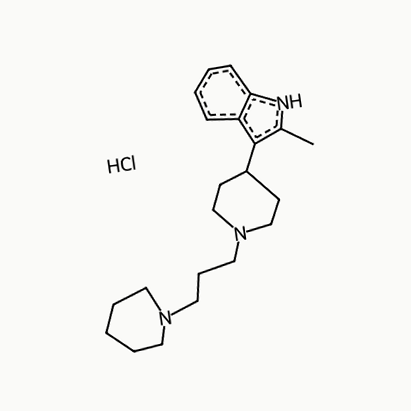 Cc1[nH]c2ccccc2c1C1CCN(CCCN2CCCCC2)CC1.Cl